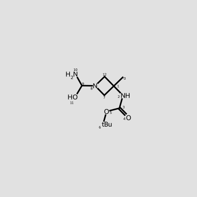 CC1(NC(=O)OC(C)(C)C)CN(C(N)O)C1